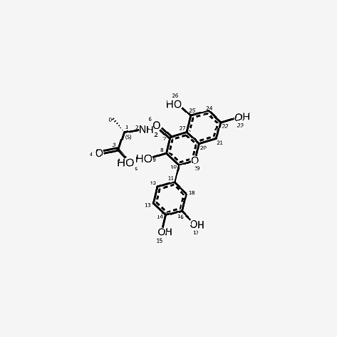 C[C@H](N)C(=O)O.O=c1c(O)c(-c2ccc(O)c(O)c2)oc2cc(O)cc(O)c12